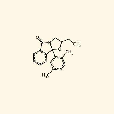 CCC1CN2C(=O)c3ccccc3C2(c2cc(C)ccc2C)O1